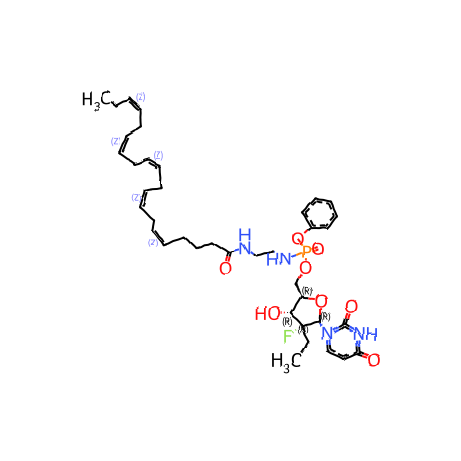 CC/C=C\C/C=C\C/C=C\C/C=C\C/C=C\CCCC(=O)NCCNP(=O)(OC[C@H]1O[C@@H](n2ccc(=O)[nH]c2=O)[C@@](F)(CC)[C@@H]1O)Oc1ccccc1